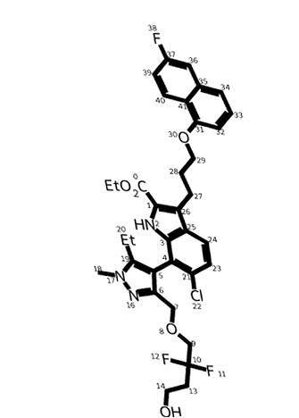 CCOC(=O)c1[nH]c2c(-c3c(COCC(F)(F)CCO)nn(C)c3CC)c(Cl)ccc2c1CCCOc1cccc2cc(F)ccc12